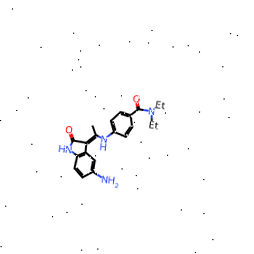 CCN(CC)C(=O)c1ccc(NC(C)=C2C(=O)Nc3ccc(N)cc32)cc1